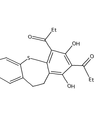 CCC(=O)c1c(O)c2c(c(C(=O)CC)c1O)Sc1ccccc1CC2